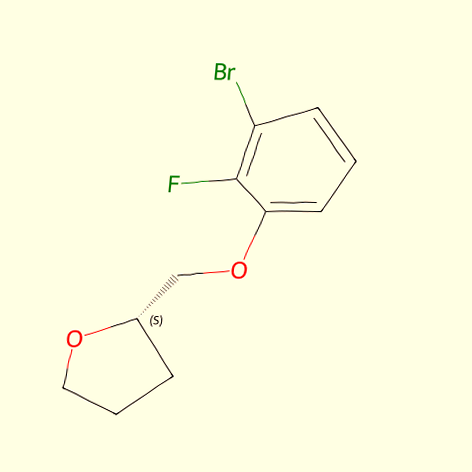 Fc1c(Br)cccc1OC[C@@H]1CCCO1